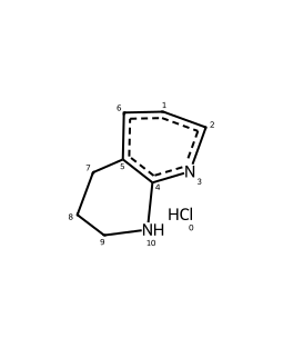 Cl.c1cnc2c(c1)CCCN2